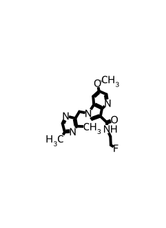 COc1cnc2c(C(=O)NCCF)cn(Cc3ncc(C)nc3C)c2c1